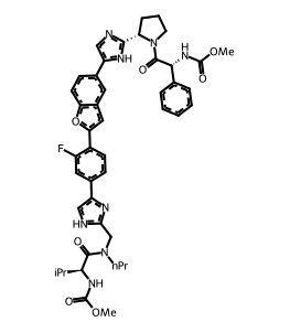 CCCN(Cc1nc(-c2ccc(-c3cc4cc(-c5cnc([C@@H]6CCCN6C(=O)[C@H](NC(=O)OC)c6ccccc6)[nH]5)ccc4o3)c(F)c2)c[nH]1)C(=O)[C@@H](NC(=O)OC)C(C)C